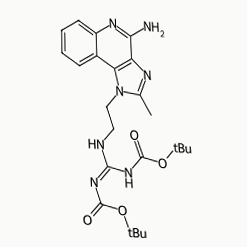 Cc1nc2c(N)nc3ccccc3c2n1CCNC(=NC(=O)OC(C)(C)C)NC(=O)OC(C)(C)C